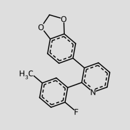 Cc1ccc(F)c(-c2ncccc2-c2ccc3c(c2)OCO3)c1